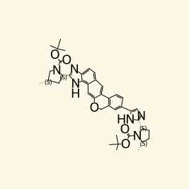 C[C@H]1C[C@@H](c2nc3ccc4cc5c(cc4c3[nH]2)OCc2cc(-c3cnc([C@@H]4CC[C@H](C)N4C(=O)OC(C)(C)C)[nH]3)ccc2-5)N(C(=O)OC(C)(C)C)C1